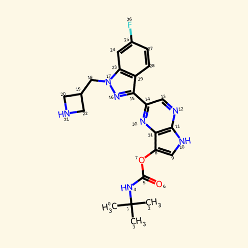 CC(C)(C)NC(=O)Oc1c[nH]c2ncc(-c3nn(CC4CNC4)c4cc(F)ccc34)nc12